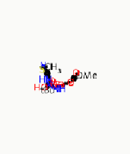 COC(=O)c1ccc(OCCCCOCC(=O)NC(C(=O)N2C[C@H](O)C[C@H]2C(=O)NCc2ccc(-c3scnc3C)cc2)C(C)(C)C)cc1